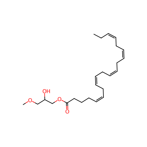 CC/C=C\C/C=C\C/C=C\C/C=C\C/C=C\CCCC(=O)OCC(O)COC